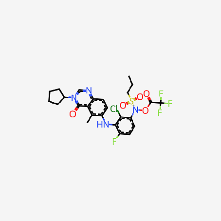 CCCS(=O)(=O)N(OC(=O)C(F)(F)F)c1ccc(F)c(Nc2ccc3ncn(C4CCCC4)c(=O)c3c2C)c1Cl